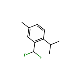 Cc1ccc(C(C)C)c(C(F)F)c1